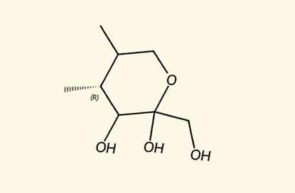 CC1COC(O)(CO)C(O)[C@@H]1C